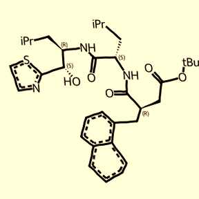 CC(C)C[C@H](NC(=O)[C@@H](CC(=O)OC(C)(C)C)Cc1cccc2ccccc12)C(=O)N[C@H](CC(C)C)[C@H](O)c1nccs1